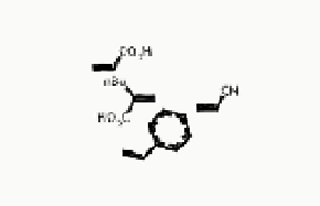 C=C(CCCC)C(=O)O.C=CC#N.C=CC(=O)O.C=Cc1ccccc1